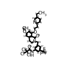 CCc1ccc(CCOc2cc(OC)cc3c2C(=O)N(Cc2cc(NC(=O)C(Cl)(Cl)Cl)cc(C(F)(F)F)c2)CC3)nc1